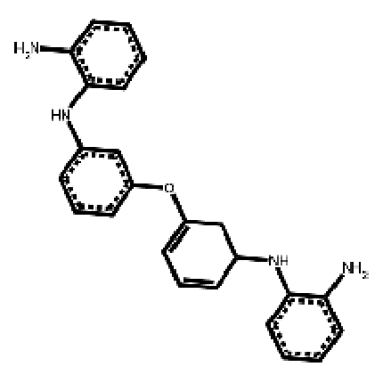 Nc1ccccc1Nc1cccc(OC2=CC=CC(Nc3ccccc3N)C2)c1